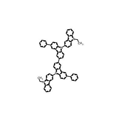 CCn1c2ccccc2c2cc(-n3c4ccc(-c5ccccc5)cc4c4cc(-c5ccc6c(c5)c5cc(-c7ccccc7)ccc5n6-c5ccc6c(c5)c5ccccc5n6CC)ccc43)ccc21